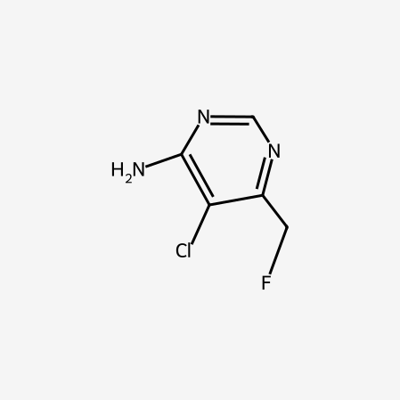 Nc1ncnc(CF)c1Cl